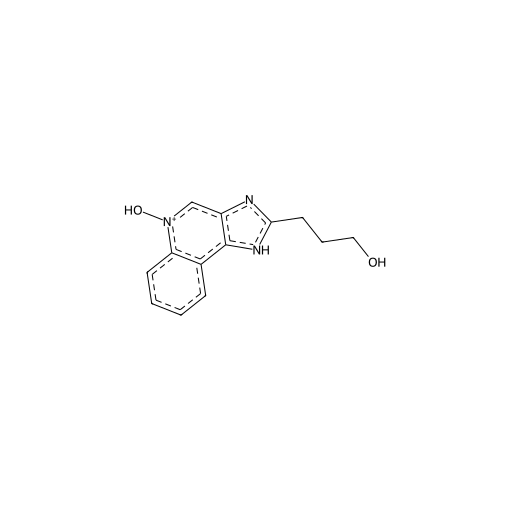 OCCCc1nc2c[n+](O)c3ccccc3c2[nH]1